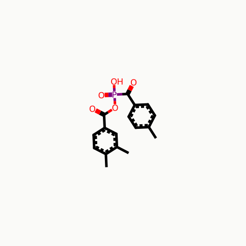 Cc1ccc(C(=O)P(=O)(O)OC(=O)c2ccc(C)c(C)c2)cc1